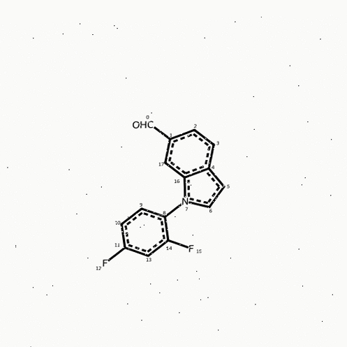 O=Cc1ccc2ccn(-c3ccc(F)cc3F)c2c1